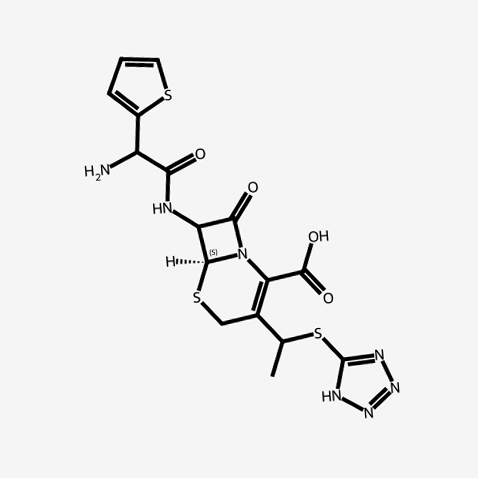 CC(Sc1nnn[nH]1)C1=C(C(=O)O)N2C(=O)C(NC(=O)C(N)c3cccs3)[C@@H]2SC1